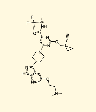 C#CC1(COc2nc(C(=O)N[C@@H](C)C(F)(F)F)cc(N3CCC(c4n[nH]c5ncc(OCCN(C)C)cc45)CC3)n2)CC1